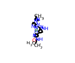 Cc1cn(-c2ccnc3[nH]c(-c4n[nH]c5ccc(-c6cncc(NC(=O)CC(C)C)c6)c(F)c45)nc23)cn1